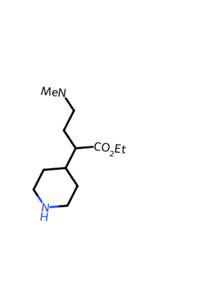 CCOC(=O)C(CCNC)C1CCNCC1